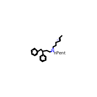 C/C=C/CCCN(CCCCC)CCC(Cc1ccccc1)c1ccccc1